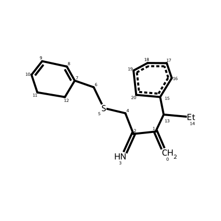 C=C(C(=N)CSCC1=CC=CCC1)C(CC)c1ccccc1